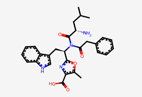 Cc1oc([C@@H](Cc2c[nH]c3ccccc23)N(C(=O)Cc2ccccc2)C(=O)[C@@H](N)CC(C)C)nc1C(=O)O